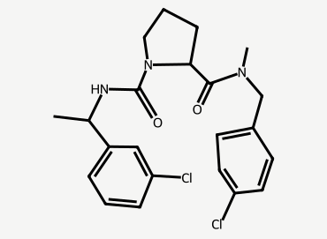 CC(NC(=O)N1CCCC1C(=O)N(C)Cc1ccc(Cl)cc1)c1cccc(Cl)c1